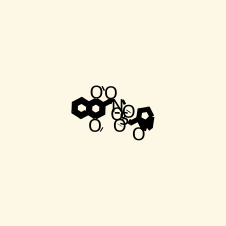 COc1cc(C(=O)N(C)OS(=O)(=O)CC23CCC(CC2=O)C3(C)C)c(OC)c2ccccc12